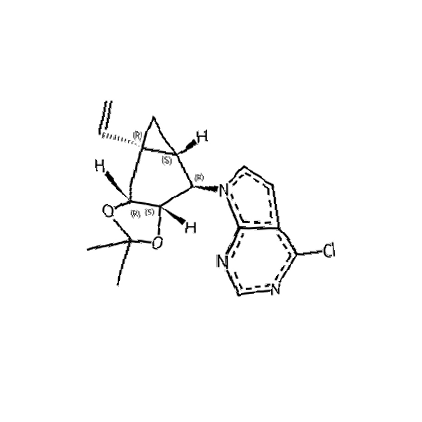 C=C[C@]12C[C@@H]1[C@@H](n1ccc3c(Cl)ncnc31)[C@@H]1OC(C)(C)O[C@@H]12